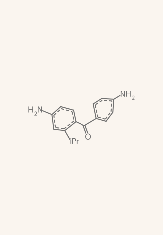 CC(C)c1cc(N)ccc1C(=O)c1ccc(N)cc1